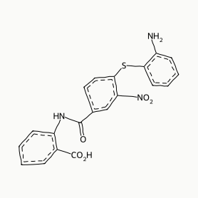 Nc1ccccc1Sc1ccc(C(=O)Nc2ccccc2C(=O)O)cc1[N+](=O)[O-]